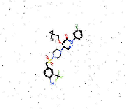 CC1(COc2c(N3CCN(S(=O)(=O)Cc4ccc(N)c(C(F)(F)F)c4)CC3)cnn(-c3cccc(Cl)c3)c2=O)CC1